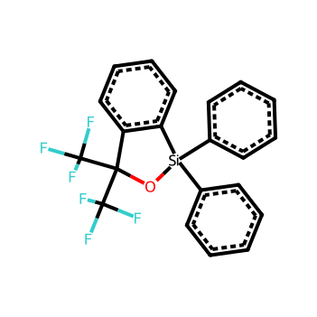 FC(F)(F)C1(C(F)(F)F)O[Si](c2ccccc2)(c2ccccc2)c2ccccc21